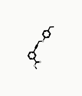 CCc1ccc(OCC#Cc2cccc(C(=O)OC)c2)cc1